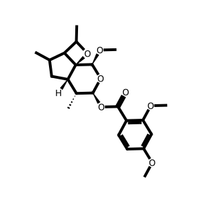 COc1ccc(C(=O)O[C@@H]2O[C@H](OC)[C@@]34OC(C)C3C(C)C[C@H]4[C@H]2C)c(OC)c1